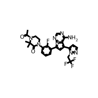 CC(=O)N1CCN(c2cccc(-c3cc(-c4ccnn4CC(F)(F)F)c4c(N)ncnn34)c2F)C(=O)C1(C)C